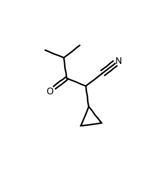 CC(C)C(=O)C(C#N)C1CC1